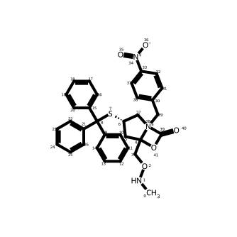 CNOCC12C[C@H](SC(c3ccccc3)(c3ccccc3)c3ccccc3)C[N+]1(Cc1ccc([N+](=O)[O-])cc1)C(=O)O2